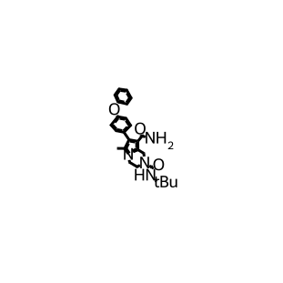 Cc1c(-c2ccc(Oc3ccccc3)cc2)c(C(N)=O)c2n1CCN(C(=O)NC(C)(C)C)C2